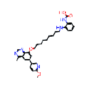 COc1ccc(-c2cc(OCCCCCCCCCNc3ccccc3NC(=O)O)c3ncnc(C)c3c2)cn1